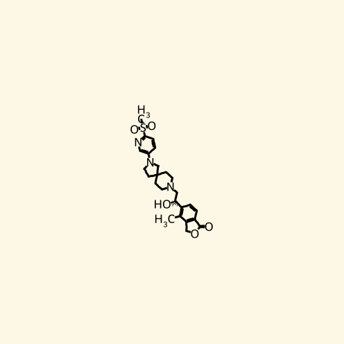 Cc1c([C@@H](O)CN2CCC3(CC2)CCN(c2ccc(S(C)(=O)=O)nc2)C3)ccc2c1COC2=O